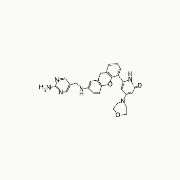 Nc1ncc(CNc2ccc3c(c2)Cc2cccc(-c4cc(N5CCOCC5)cc(=O)[nH]4)c2O3)cn1